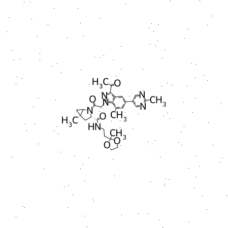 CC(=O)c1nn(CC(=O)N2C3C[C@]3(C)C[C@H]2C(=O)NCCC2(C)OCCO2)c2c(C)cc(-c3cnc(C)nc3)cc12